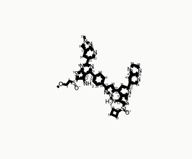 COCC[S+]([O-])c1sc2nc(-c3cnc4nn(C)cc4c3)nc(-c3ccc(-c4cc(-c5cc(-c6cnc7nccnc7c6)nc6sc([S+]([O-])C7CCC7)c(N)c56)n(C)n4)cc3)c2c1N